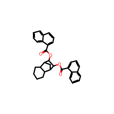 O=C(OC1C2CC(C3CCCCC32)C1OC(=O)c1cccc2ccccc12)c1cccc2ccccc12